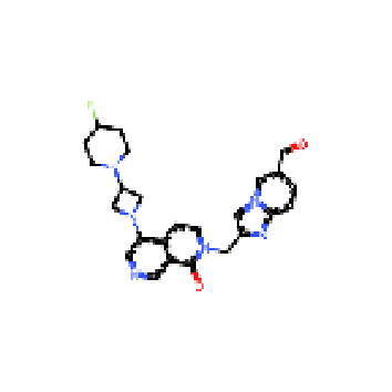 O=Cc1ccc2nc(Cn3ccc4c(N5CC(N6CCC(F)CC6)C5)cncc4c3=O)cn2c1